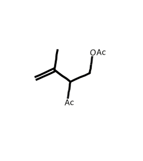 C=C(C)C(COC(C)=O)C(C)=O